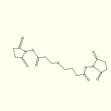 O=C(CCCOCCC(=O)ON1C(=O)CCC1=O)ON1C(=O)CCC1=O